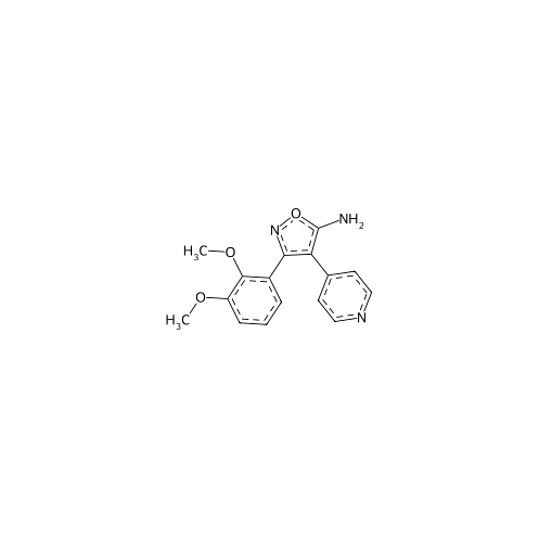 COc1cccc(-c2noc(N)c2-c2ccncc2)c1OC